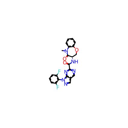 CN1C(=O)[C@@H](NC(=O)c2ncc3cnn(-c4c(F)cccc4F)c3n2)COc2ccccc21